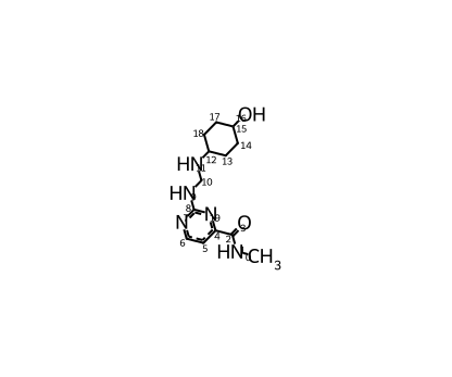 CNC(=O)c1ccnc(NCNC2CCC(O)CC2)n1